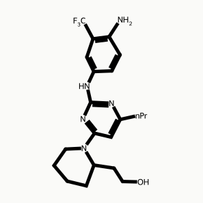 CCCc1cc(N2CCCCC2CCO)nc(Nc2ccc(N)c(C(F)(F)F)c2)n1